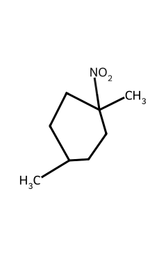 CC1CCC(C)([N+](=O)[O-])CC1